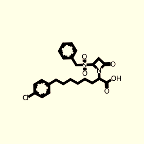 O=C(O)C(CCCCCCc1ccc(Cl)cc1)N1C(=O)CC1S(=O)(=O)Cc1ccccc1